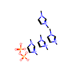 Cn1cc[n+](C)c1.Cn1cc[n+](C)c1.Cn1cc[n+](C)c1.Cn1cc[n+](C)c1.O=P([O-])([O-])OP(=O)([O-])[O-]